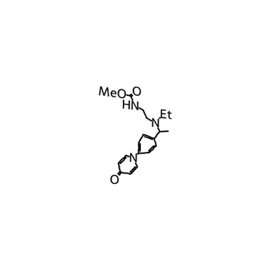 CCN(CCNC(=O)OC)C(C)c1ccc(-n2ccc(=O)cc2)cc1